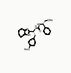 COC[C@@H](NC(=O)N[C@H](Cc1ccc(OC)cc1)c1nc2ccccc2[nH]1)c1ccccc1